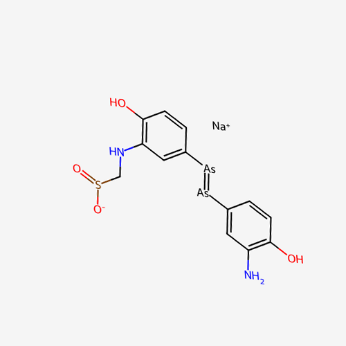 Nc1cc(/[As]=[As]/c2ccc(O)c(NCS(=O)[O-])c2)ccc1O.[Na+]